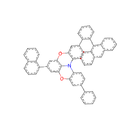 c1ccc(-c2ccc3c(c2)Oc2cc(-c4cccc5ccccc45)cc4c2N3c2ccc(-c3ccccc3-c3c5ccccc5cc5ccccc35)cc2O4)cc1